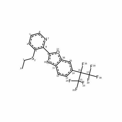 CCSc1cccnc1-c1nc2ccc(C(F)(C(F)(F)F)C(F)(F)F)cc2o1